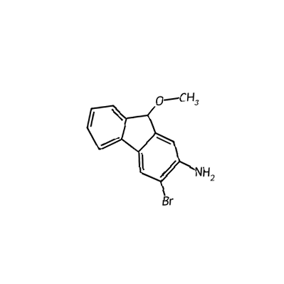 COC1c2ccccc2-c2cc(Br)c(N)cc21